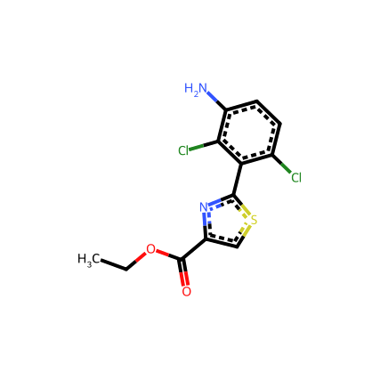 CCOC(=O)c1csc(-c2c(Cl)ccc(N)c2Cl)n1